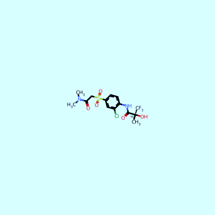 CN(C)C(=O)CS(=O)(=O)c1ccc(NC(=O)[C@@](C)(O)C(F)(F)F)c(Cl)c1